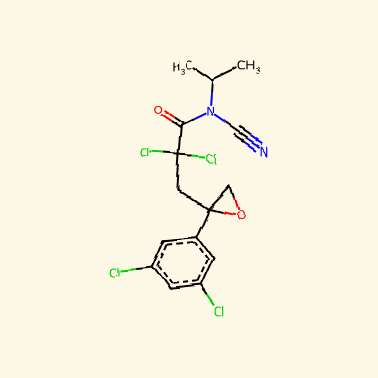 CC(C)N(C#N)C(=O)C(Cl)(Cl)CC1(c2cc(Cl)cc(Cl)c2)CO1